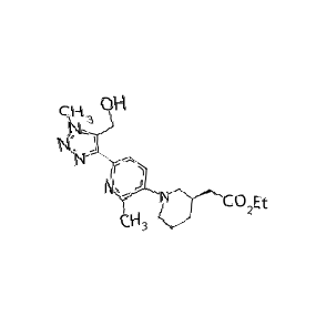 CCOC(=O)C[C@H]1CCCN(c2ccc(-c3nnn(C)c3CO)nc2C)C1